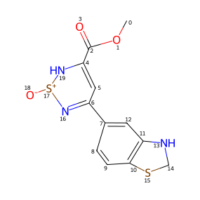 COC(=O)C1=CC(c2ccc3c(c2)NCS3)=N[S+]([O-])N1